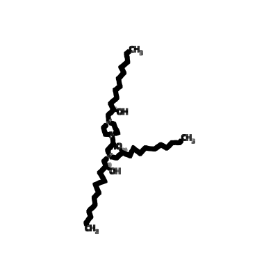 CCCCCCCCCC[C@H](O)CN1CCN(CCN(C[C@@H](O)CCCCCCCCCC)C[C@@H](O)CCCCCCCCCC)CC1